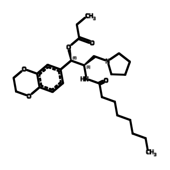 CCCCCCCC(=O)N[C@H](CN1CCCC1)[C@H](OC(=O)CC)c1ccc2c(c1)OCCO2